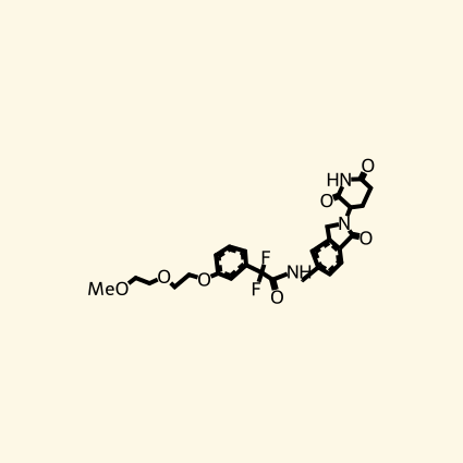 COCCOCCOc1cccc(C(F)(F)C(=O)NCc2ccc3c(c2)CN(C2CCC(=O)NC2=O)C3=O)c1